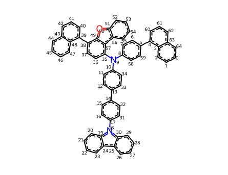 c1ccc2c(-c3ccc(N(c4ccc(-c5ccc(-n6c7ccccc7c7ccccc76)cc5)cc4)c4ccc(-c5cccc6ccccc56)c5oc6ccccc6c45)cc3)cccc2c1